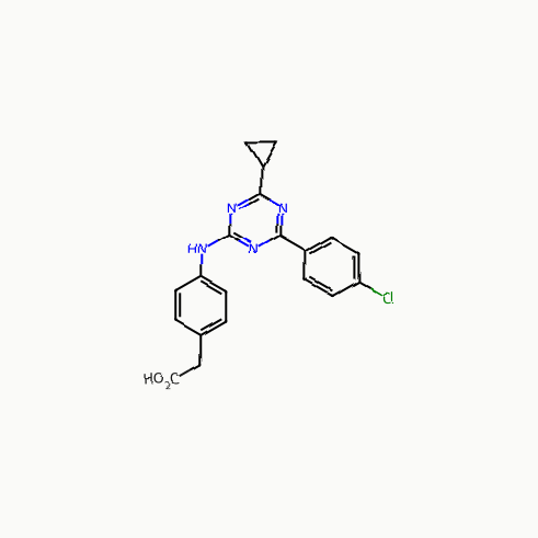 O=C(O)Cc1ccc(Nc2nc(-c3ccc(Cl)cc3)nc(C3CC3)n2)cc1